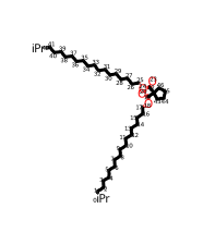 CC(C)CCCCCCCCCCCCCCCCCOC(=O)C1(C(=O)OCCCCCCCCCCCCCCCCCC(C)C)CCCC1